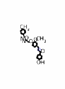 COc1cc(/C=C/C(=O)c2ccc(O)cc2)ccc1OCc1nnc(-c2ccc(C)cc2)o1